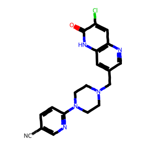 N#Cc1ccc(N2CCN(Cc3cnc4cc(Cl)c(=O)[nH]c4c3)CC2)nc1